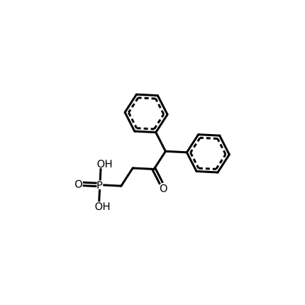 O=C(CCP(=O)(O)O)C(c1ccccc1)c1ccccc1